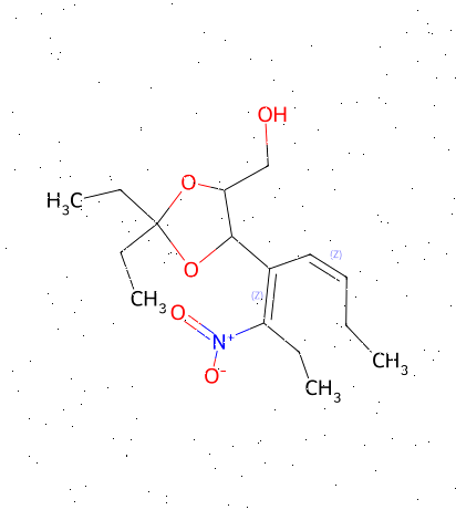 CC/C=C\C(=C(/CC)[N+](=O)[O-])C1OC(CC)(CC)OC1CO